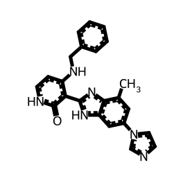 Cc1cc(-n2ccnc2)cc2[nH]c(-c3c(NCc4ccccc4)cc[nH]c3=O)nc12